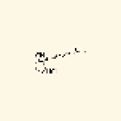 CCCC/C=C/CN1CCCCC1C.Cl